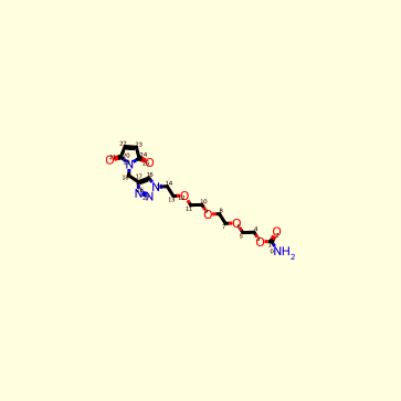 NC(=O)OCCOCCOCCOCCn1cc(CN2C(=O)C=CC2=O)nn1